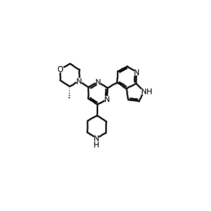 C[C@@H]1COCCN1c1cc(C2CCNCC2)nc(-c2ccnc3[nH]ccc23)n1